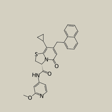 COc1cc(NC(=O)[C@@H]2CSc3c(C4CC4)c(Cc4cccc5ccccc45)cc(=O)n32)ccn1